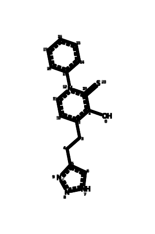 Oc1c(CCc2c[nH]nn2)ccn(-c2ccccc2)c1=S